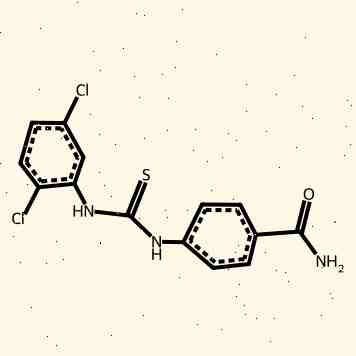 NC(=O)c1ccc(NC(=S)Nc2cc(Cl)ccc2Cl)cc1